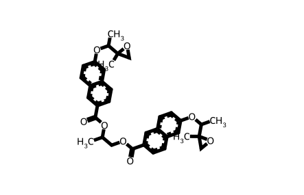 CC(COC(=O)c1ccc2cc(OC(C)C3(C)CO3)ccc2c1)OC(=O)c1ccc2cc(OC(C)C3(C)CO3)ccc2c1